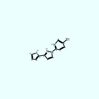 CCc1ccc(-n2ccc(-c3cccs3)n2)nc1